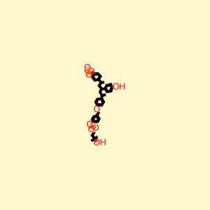 CC(CC(CC(C)c1ccc(OS(C)(=O)=O)cc1)c1ccc(O)cc1)c1ccc(OCc2ccc(S(=O)(=O)OCCC(C)(C)O)cc2)cc1